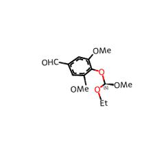 CCO[C@H](OC)Oc1c(OC)cc(C=O)cc1OC